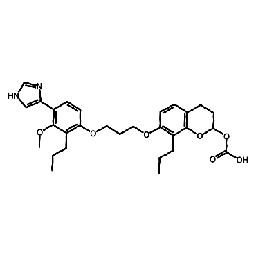 CCCc1c(OCCCOc2ccc(-c3c[nH]cn3)c(OC)c2CCC)ccc2c1OC(OC(=O)O)CC2